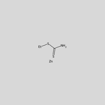 CCSC(N)=S.[Zn]